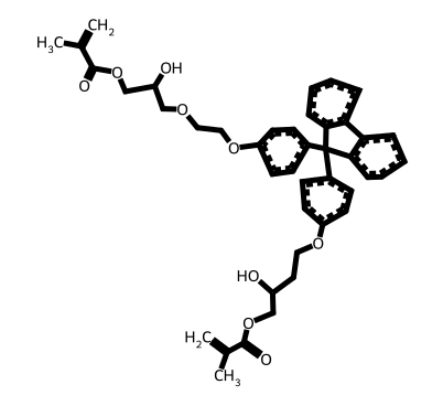 C=C(C)C(=O)OCC(O)CCOc1ccc(C2(c3ccc(OCCOCC(O)COC(=O)C(=C)C)cc3)c3ccccc3-c3ccccc32)cc1